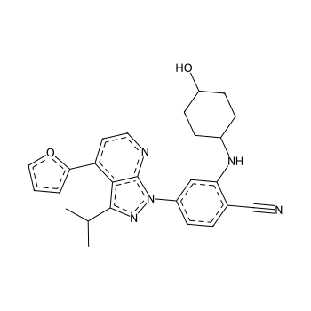 CC(C)c1nn(-c2ccc(C#N)c(NC3CCC(O)CC3)c2)c2nccc(-c3ccco3)c12